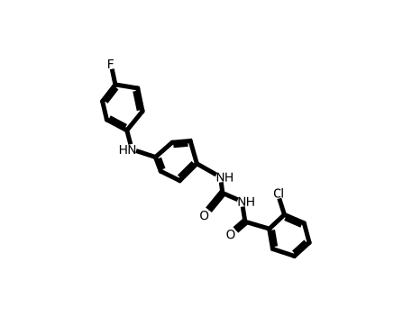 O=C(NC(=O)c1ccccc1Cl)Nc1ccc(Nc2ccc(F)cc2)cc1